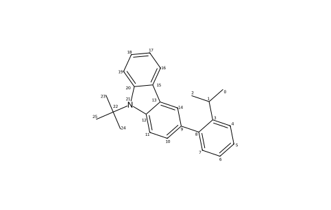 CC(C)c1ccccc1-c1ccc2c(c1)c1ccccc1n2C(C)(C)C